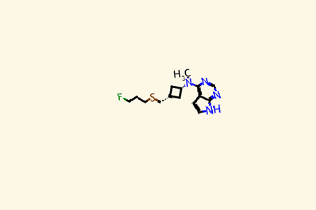 CN(c1ncnc2[nH]ccc12)[C@H]1C[C@@H](CSCCCF)C1